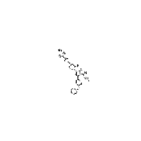 CC(C)(C)OC(=O)N1CC(N2CC[C@H](n3nc(-c4ccc(Oc5ccccc5)cc4)c4c(N)ncnc43)[C@H](F)C2)C1